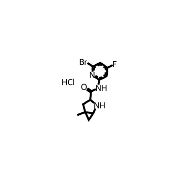 CC12CC(C(=O)Nc3cc(F)cc(Br)n3)NC1C2.Cl